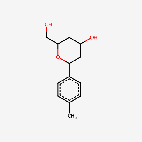 Cc1ccc(C2CC(O)CC(CO)O2)cc1